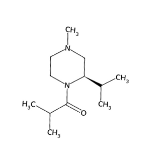 CC(C)C(=O)N1CCN(C)C[C@H]1C(C)C